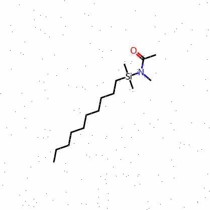 CCCCCCCCCC[Si](C)(C)N(C)C(C)=O